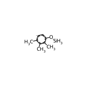 Cc1[c]cc(O[SiH3])c(C)c1C